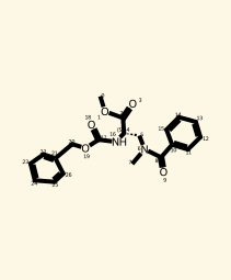 COC(=O)[C@H](CN(C)C(=O)c1ccccc1)NC(=O)OCc1ccccc1